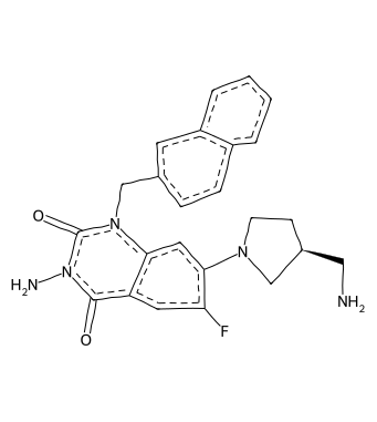 NC[C@@H]1CCN(c2cc3c(cc2F)c(=O)n(N)c(=O)n3Cc2ccc3ccccc3c2)C1